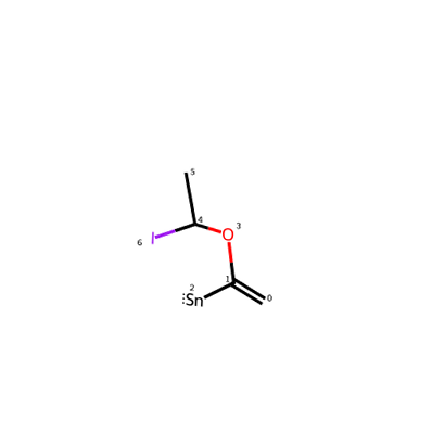 C=[C]([Sn])OC(C)I